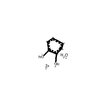 O.Oc1ccccc1O.[Zn]